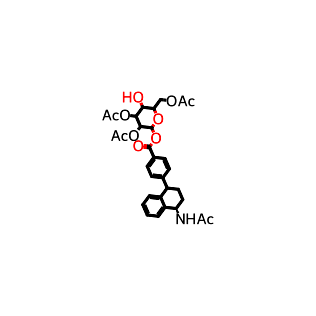 CC(=O)N[C@@H]1CCC(c2ccc(C(=O)OC3OC(COC(C)=O)C(O)C(OC(C)=O)C3OC(C)=O)cc2)c2ccccc21